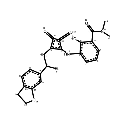 CCC(Nc1c(Nc2cccc(C(=O)N(C)C)c2O)c(=O)c1=O)c1ccc2c(c1)OCC2